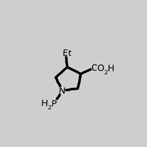 CCC1CN(P)CC1C(=O)O